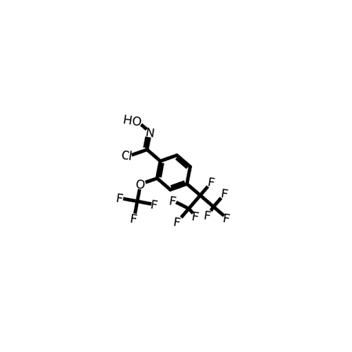 ON=C(Cl)c1ccc(C(F)(C(F)(F)F)C(F)(F)F)cc1OC(F)(F)F